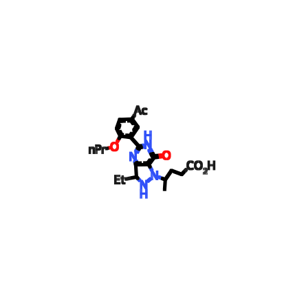 CCCOc1ccc(C(C)=O)cc1-c1nc2c(c(=O)[nH]1)N(C(C)CCC(=O)O)NC2CC